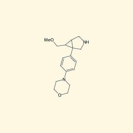 COCC1C2CNCC21c1ccc(N2CCOCC2)cc1